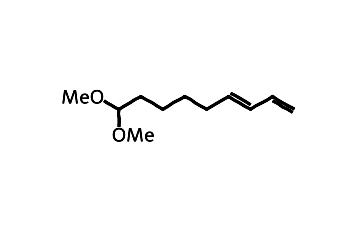 C=C/C=C/CCCCC(OC)OC